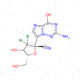 N#C[C@@]1(c2cnc3c(O)nc(N)nn23)O[C@H](CO)C(O)C1(Br)Br